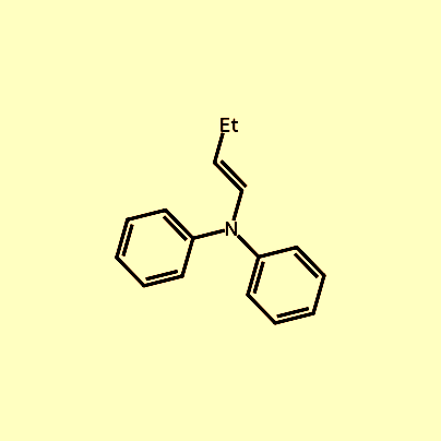 CCC=CN(c1ccccc1)c1ccccc1